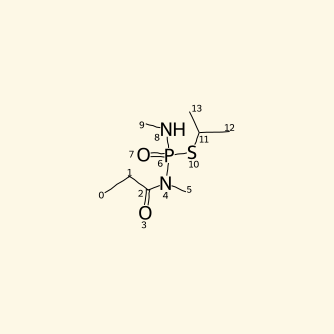 CCC(=O)N(C)P(=O)(NC)SC(C)C